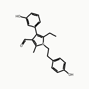 CCc1c(-c2cccc(O)c2)c(C=O)c(C)n1CCc1ccc(O)cc1